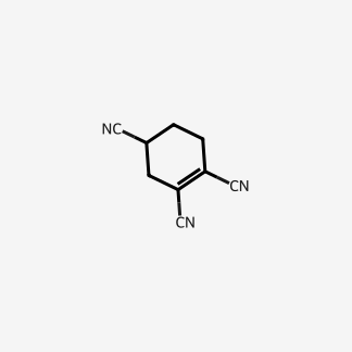 N#CC1=C(C#N)CC(C#N)CC1